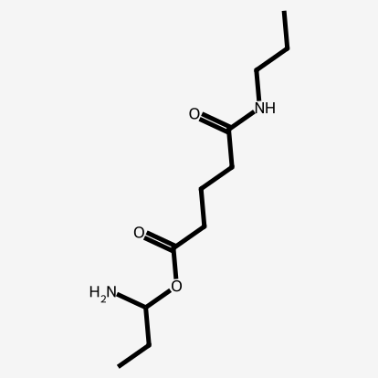 CCCNC(=O)CCCC(=O)OC(N)CC